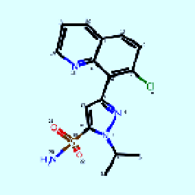 CC(C)n1nc(-c2c(Cl)ccc3cccnc23)cc1S(N)(=O)=O